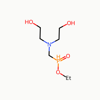 CCO[PH](=O)CN(CCO)CCO